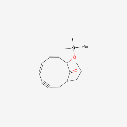 CC(C)(C)[Si](C)(C)OC12C#C/C=C\C#CCC(CCC1)C2=O